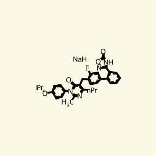 CCCc1nc(C)n(-c2ccc(OC(C)C)cc2)c(=O)c1Cc1ccc(-c2ccccc2-c2noc(=O)[nH]2)cc1F.[NaH]